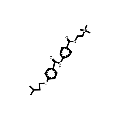 CC(C)CCOc1ccc(C(=O)Nc2ccc(C(=O)OCC[N+](C)(C)C)cc2)cc1